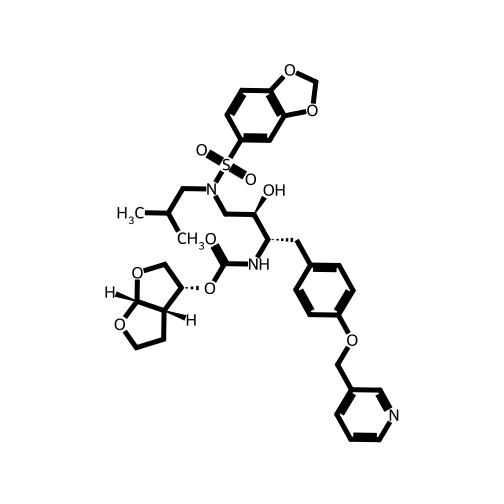 CC(C)CN(C[C@@H](O)[C@H](Cc1ccc(OCc2cccnc2)cc1)NC(=O)O[C@H]1CO[C@H]2OCC[C@H]21)S(=O)(=O)c1ccc2c(c1)OCO2